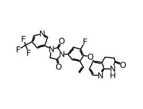 C=Cc1cc(N2C(=O)CN(c3cncc(C(F)(F)F)c3)C2=O)cc(F)c1Oc1ccnc2c1CCC(=O)N2